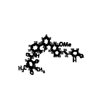 COc1nc(-c2cccc(-c3cccc(NC(=O)c4cn(C)c(=O)n(C)c4=O)c3F)c2F)cc2c1[C@H](CC[C@@H]1CCC(=O)N1)CC2